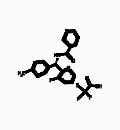 O=C(N[C@@H](c1ccc(C(F)(F)F)cc1)c1ncccc1F)c1cccnc1.O=C(O)C(F)(F)F